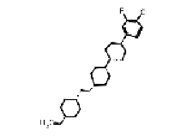 C=C[C@H]1CC[C@H](CC[C@H]2CC[C@H]([C@H]3CC[C@H](c4ccc(Cl)c(F)c4)CC3)CC2)CC1